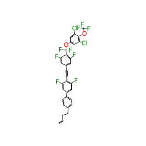 C=CCCc1ccc(-c2cc(F)c(C#Cc3cc(F)c(C(F)(F)Oc4cc(Cl)c(OC(F)(F)F)c(Cl)c4)c(F)c3)c(F)c2)cc1